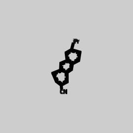 CC(C)c1ccc2cc3cc(C#N)ccc3cc2c1